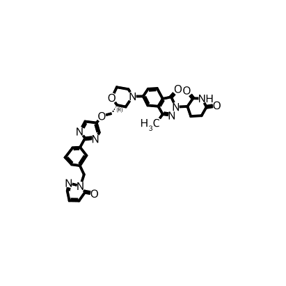 Cc1nn(C2CCC(=O)NC2=O)c(=O)c2ccc(N3CCO[C@@H](COc4cnc(-c5cccc(Cn6ncccc6=O)c5)nc4)C3)cc12